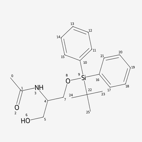 CC(=O)NC(CO)CO[Si](c1ccccc1)(c1ccccc1)C(C)(C)C